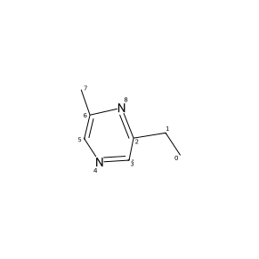 CCc1[c]ncc(C)n1